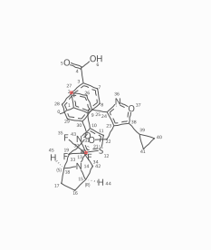 Cc1cc(C(=O)O)ccc1-c1csc(N2[C@@H]3CC[C@H]2C[C@H](OCc2c(-c4ccccc4OC(F)(F)F)noc2C2CC2)C3)n1